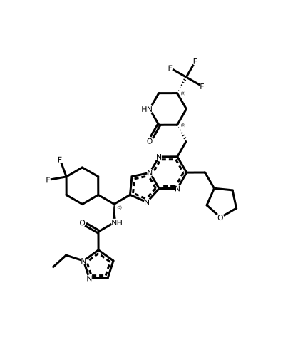 CCn1nccc1C(=O)N[C@H](c1cn2nc(C[C@H]3C[C@@H](C(F)(F)F)CNC3=O)c(CC3CCOC3)nc2n1)C1CCC(F)(F)CC1